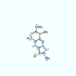 CCCC(C(=O)OC)c1cn2nc(C(C)(C)C)c(Br)c2nc1C